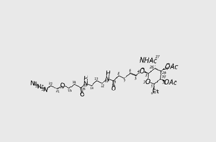 CC[C@H]1O[C@@H](OCCCCC(=O)NCCCNC(=O)CCOCCN=[N+]=[N-])[C@H](NC(C)=O)[C@@H](OC(C)=O)[C@H]1OC(C)=O